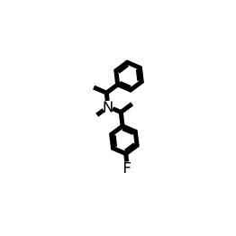 CC(c1ccccc1)N(C)C(C)c1ccc(F)cc1